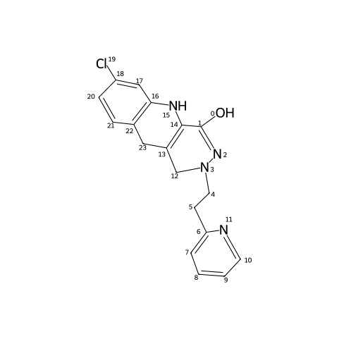 OC1=NN(CCc2ccccn2)CC2=C1Nc1cc(Cl)ccc1C2